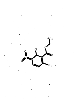 CCOC(=O)C1=C(C)C=CC(=S(=O)=O)C1Cl